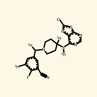 [2H]c1cc(C([2H])N2CCC([2H])(N([2H])c3ncnc4sc(Cl)nc34)CC2)cc(C#N)c1F